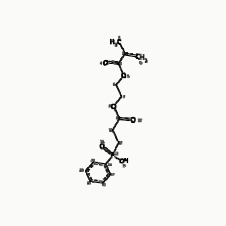 C=C(C)C(=O)OCCOC(=O)CCP(=O)(O)c1ccccc1